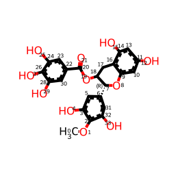 COc1c(O)cc([C@H]2Oc3cc(O)cc(O)c3CC2OC(=O)c2cc(O)c(O)c(O)c2)cc1O